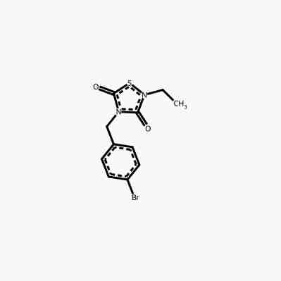 CCn1sc(=O)n(Cc2ccc(Br)cc2)c1=O